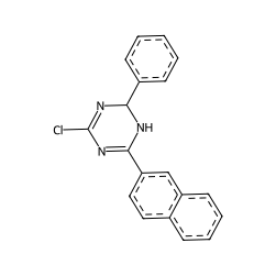 ClC1=NC(c2ccccc2)NC(c2ccc3ccccc3c2)=N1